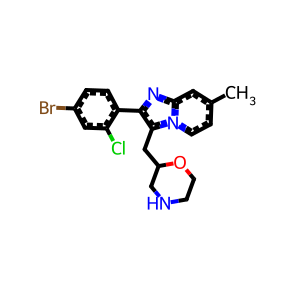 Cc1ccn2c(CC3CNCCO3)c(-c3ccc(Br)cc3Cl)nc2c1